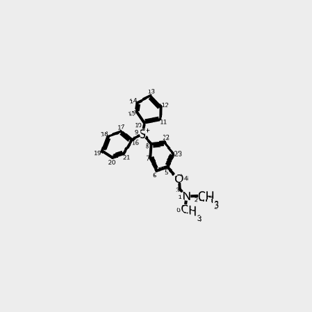 CN(C)COc1ccc([S+](c2ccccc2)c2ccccc2)cc1